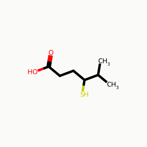 CC(C)C(S)CCC(=O)O